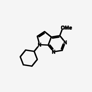 COc1ncnc2c1ccn2C1CCCCC1